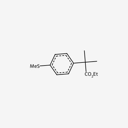 CCOC(=O)C(C)(C)c1ccc(SC)cc1